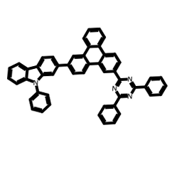 c1ccc(-c2nc(-c3ccccc3)nc(-c3ccc4c5ccccc5c5cc(-c6ccc7c8ccccc8n(-c8ccccc8)c7c6)ccc5c4c3)n2)cc1